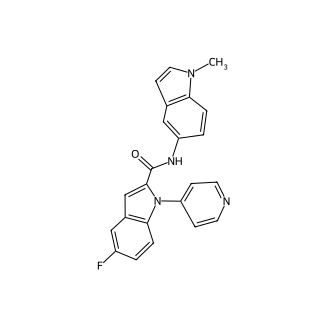 Cn1ccc2cc(NC(=O)c3cc4cc(F)ccc4n3-c3ccncc3)ccc21